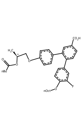 CCCCCCCCOc1ccc(-c2ccc(C(=O)O)cc2-c2ccc(OC[C@H](C)OC(=O)CCCC)cc2)cc1F